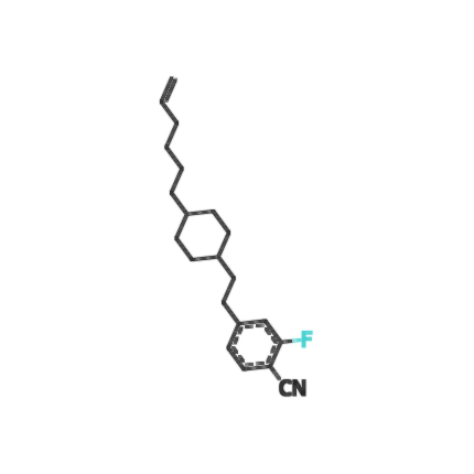 C=CCCCCC1CCC(CCc2ccc(C#N)c(F)c2)CC1